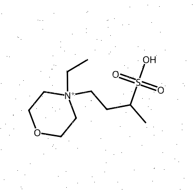 CC[N+]1(CCC(C)S(=O)(=O)O)CCOCC1